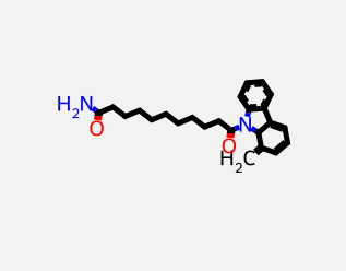 C=C1C=CC=C2c3ccccc3N(C(=O)CCCCCCCCCC(N)=O)C12